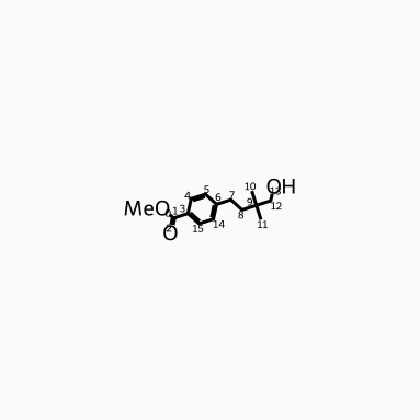 COC(=O)c1ccc(CCC(C)(C)CO)cc1